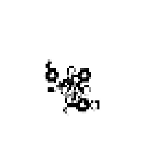 CCc1ccc(N(CC)C(=O)Cn2nc(C(=O)Nc3cc(Cl)ccc3C(=O)OC)c3ccccc3c2=O)cc1